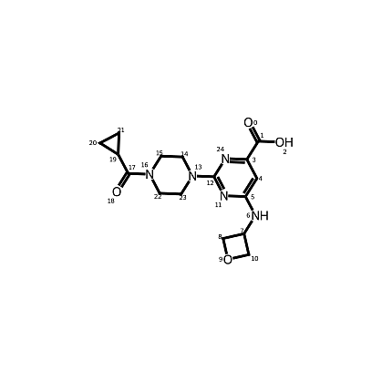 O=C(O)c1cc(NC2COC2)nc(N2CCN(C(=O)C3CC3)CC2)n1